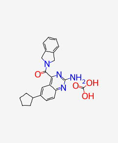 Nc1nc(C(=O)N2Cc3ccccc3C2)c2cc(C3CCCC3)ccc2n1.O=C(O)O